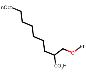 CCCCCCCCCCCCCCC(COCC)C(=O)O